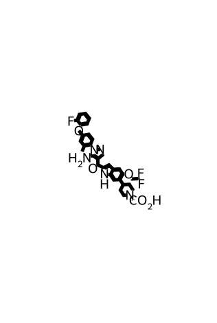 Cc1cc(Oc2ccccc2F)ccc1-n1ncc(C(=O)c2cc3cc(OCC(F)F)c(C4CCN(C(=O)O)CC4)cc3[nH]2)c1N